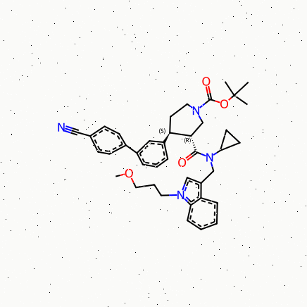 COCCCn1cc(CN(C(=O)[C@H]2CN(C(=O)OC(C)(C)C)CC[C@@H]2c2cccc(-c3ccc(C#N)cc3)c2)C2CC2)c2ccccc21